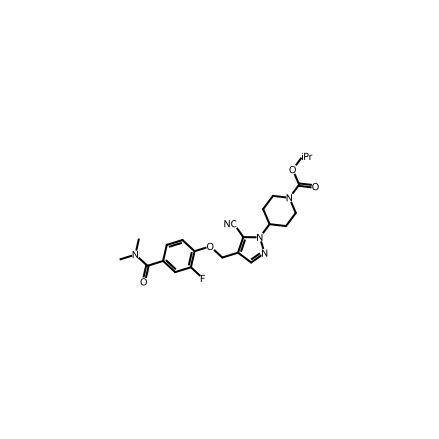 CC(C)OC(=O)N1CCC(n2ncc(COc3ccc(C(=O)N(C)C)cc3F)c2C#N)CC1